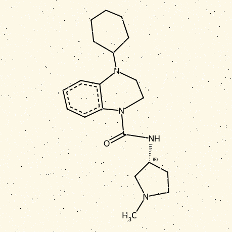 CN1CC[C@@H](NC(=O)N2CCN(C3CCCCC3)c3ccccc32)C1